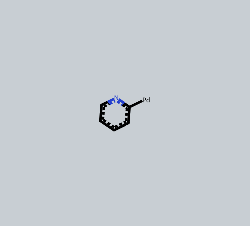 [Pd][c]1ccccn1